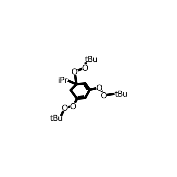 CC(C)C1(OOC(C)(C)C)C=C(OOC(C)(C)C)C=C(OOC(C)(C)C)C1